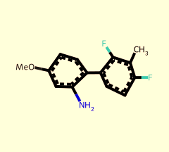 COc1ccc(-c2ccc(F)c(C)c2F)c(N)c1